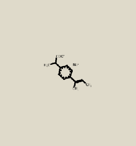 CC=C(C)c1ccc(C(C)C(=O)[O-])cc1.[Na+]